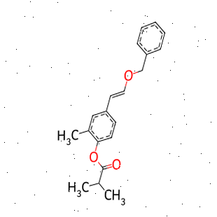 Cc1cc(C=COCc2ccccc2)ccc1OC(=O)C(C)C